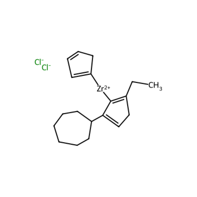 CCC1=[C]([Zr+2][C]2=CC=CC2)C(C2CCCCCC2)=CC1.[Cl-].[Cl-]